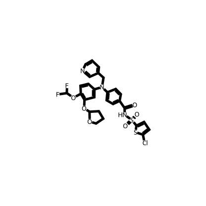 O=C(NS(=O)(=O)c1ccc(Cl)s1)c1ccc(N(Cc2cccnc2)c2ccc(OC(F)F)c(OC3CCCO3)c2)cc1